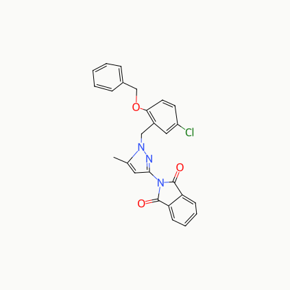 Cc1cc(N2C(=O)c3ccccc3C2=O)nn1Cc1cc(Cl)ccc1OCc1ccccc1